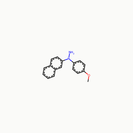 COc1ccc(N(N)c2ccc3ccccc3c2)cc1